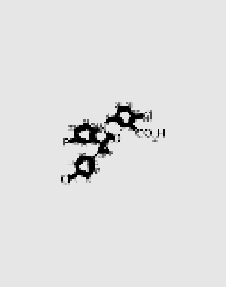 O=C(O)c1cc(CN2C(=O)[C@@]3(C[C@H]3c3ccc(Cl)cc3)c3cc(F)ccc32)ccc1Cl